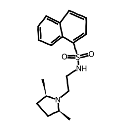 C[C@@H]1CC[C@H](C)N1CCNS(=O)(=O)c1cccc2ccccc12